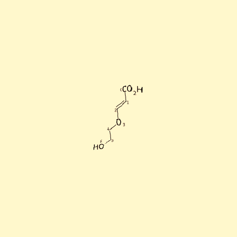 O=C(O)C=COCCO